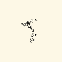 CC(=O)N[C@@H]1CCCN(c2nnc(C(N)=O)c(Nc3ccc(N4CCN(CC5CCN(c6ncc(-c7ccc(=O)[nH]n7)cc6C(F)(F)F)CC5)CC4)c(F)c3)n2)C1